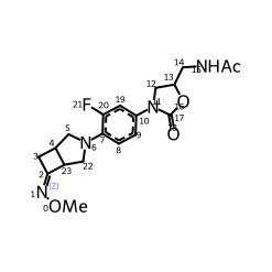 CO/N=C1/CC2CN(c3ccc(N4CC(CNC(C)=O)OC4=O)cc3F)CC12